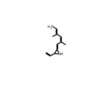 C=CC1N\C1=C/C(C)=C\C(C)=C\N